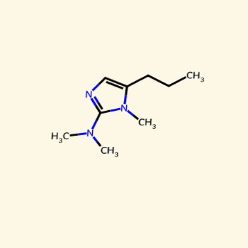 CCCc1cnc(N(C)C)n1C